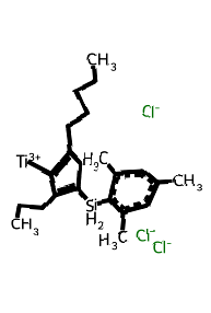 CCCCCC1=[C]([Ti+3])C(CCC)=C([SiH2]c2c(C)cc(C)cc2C)C1.[Cl-].[Cl-].[Cl-]